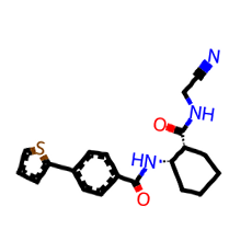 N#CCNC(=O)[C@@H]1CCCC[C@@H]1NC(=O)c1ccc(-c2cccs2)cc1